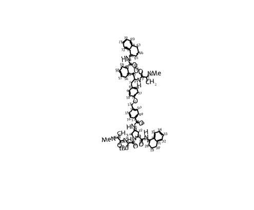 CNC(C)C(=O)NC(Cc1ccc(OCc2ccc(C(=O)N[C@H]3C[C@@H](C(=O)N[C@@H]4CCCc5ccccc54)N(C(=O)C(NC(=O)C(C)NC)C(C)(C)C)C3)cc2)cc1)C(=O)[C@H]1CC=CC[C@@H]1C(=O)N[C@@H]1CCCc2ccccc21